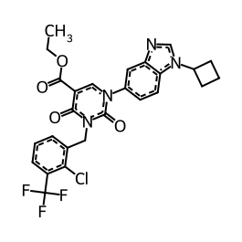 CCOC(=O)c1cn(-c2ccc3c(c2)ncn3C2CCC2)c(=O)n(Cc2cccc(C(F)(F)F)c2Cl)c1=O